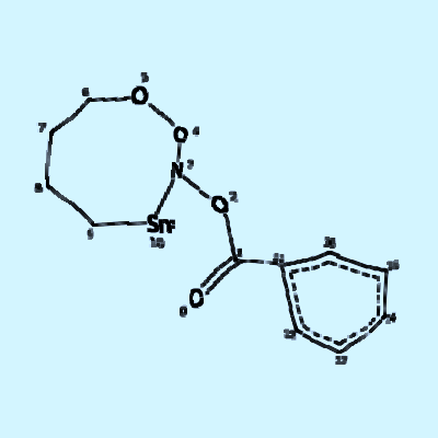 O=C(O[N]1OOCCC[CH2][Sn]1)c1ccccc1